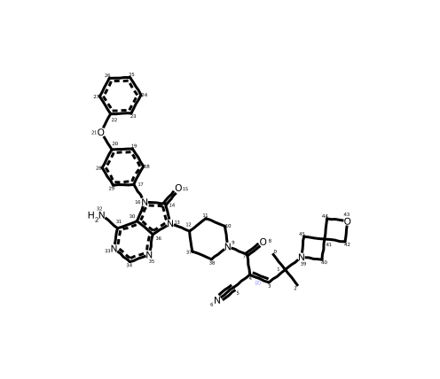 CC(C)(/C=C(/C#N)C(=O)N1CCC(n2c(=O)n(-c3ccc(Oc4ccccc4)cc3)c3c(N)ncnc32)CC1)N1CC2(COC2)C1